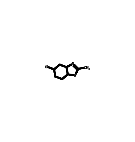 CC1=NC2CC(Cl)CCC2O1